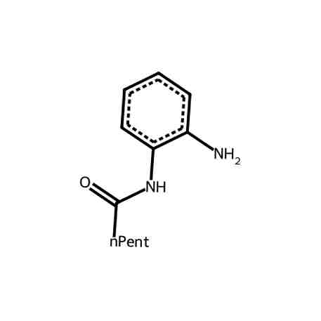 CCCCCC(=O)Nc1ccccc1N